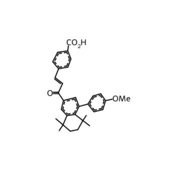 COc1ccc(-c2cc(C(=O)C=Cc3ccc(C(=O)O)cc3)cc3c2C(C)(C)CCC3(C)C)cc1